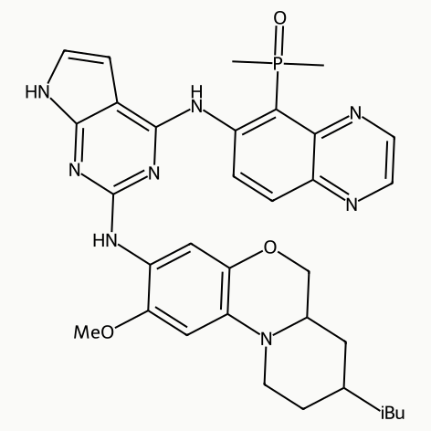 CCC(C)C1CCN2c3cc(OC)c(Nc4nc(Nc5ccc6nccnc6c5P(C)(C)=O)c5cc[nH]c5n4)cc3OCC2C1